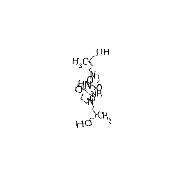 C/C(=C\CN1CCC[C@]2(NC(=O)[C@@]3(CCCN(C/C=C(\C)CCO)O3)NC2=O)O1)CCO